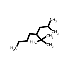 [CH2]CCCC(CC(C)C)C(C)(C)C